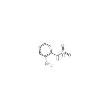 Nc1ccccc1N[SH](=O)=O